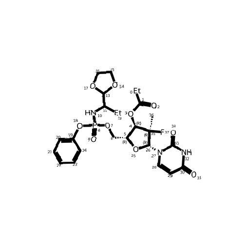 CCC(=O)O[C@@H]1[C@@H](COP(=O)(NC(CC)C2OCCO2)Oc2ccccc2)O[C@@H](n2ccc(=O)[nH]c2=O)[C@]1(C)F